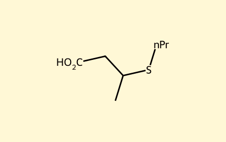 CCCSC(C)CC(=O)O